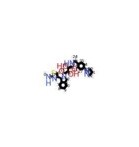 CNc1nc(C2c3ccccc3CN2C(=O)[C@H](O)[C@@H](O)C(=O)N[C@H](C)c2ccc(-n3cccn3)cc2)cs1